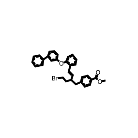 COC(=O)c1ccc(CC(C=Cc2ccccc2Oc2cccc(-c3ccccc3)c2)CCBr)cc1